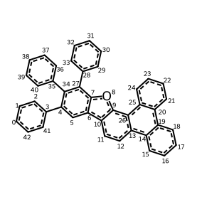 c1ccc(-c2cc3c(oc4c3ccc3c5ccccc5c5ccccc5c34)c(-c3ccccc3)c2-c2ccccc2)cc1